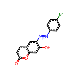 O=c1ccc2cc(/N=N/c3ccc(Br)cc3)c(O)cc2o1